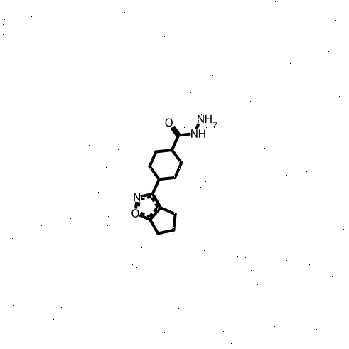 NNC(=O)C1CCC(c2noc3c2CCC3)CC1